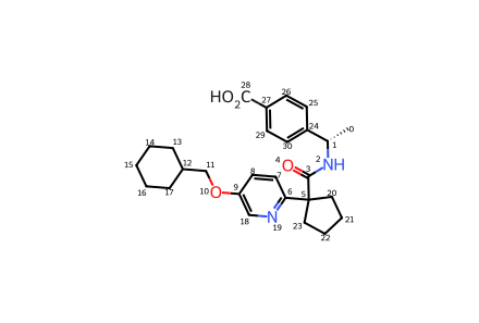 C[C@H](NC(=O)C1(c2ccc(OCC3CCCCC3)cn2)CCCC1)c1ccc(C(=O)O)cc1